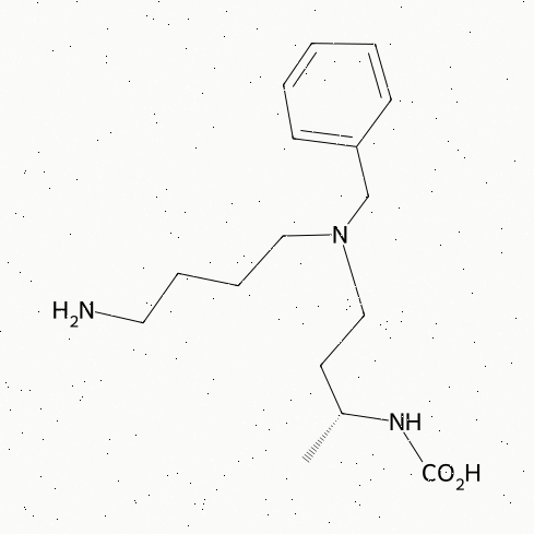 C[C@H](CCN(CCCCN)Cc1ccccc1)NC(=O)O